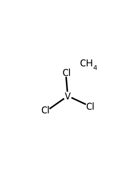 C.[Cl][V]([Cl])[Cl]